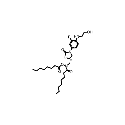 CCCCCCCC(=O)ON(C[C@H]1CN(c2ccc(NCCO)c(F)c2)C(=O)O1)C(=O)CCCCCCC